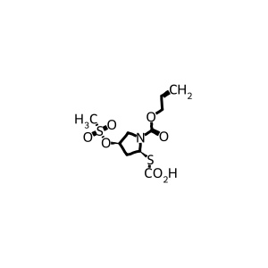 C=CCOC(=O)N1C[C@H](OS(C)(=O)=O)C[C@@H]1SC(=O)O